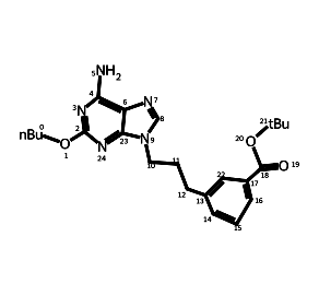 CCCCOc1nc(N)c2ncn(CCCc3cccc(C(=O)OC(C)(C)C)c3)c2n1